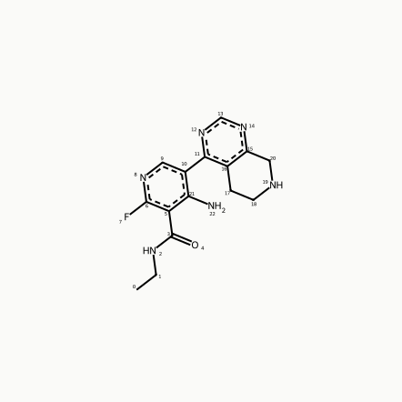 CCNC(=O)c1c(F)ncc(-c2ncnc3c2CCNC3)c1N